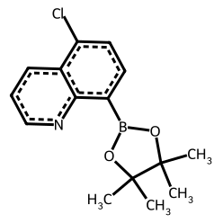 CC1(C)OB(c2ccc(Cl)c3cccnc23)OC1(C)C